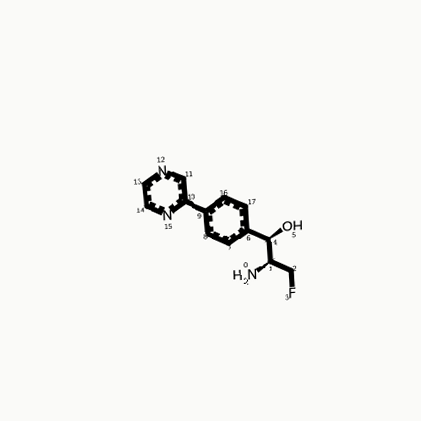 N[C@H](CF)[C@H](O)c1ccc(-c2cnccn2)cc1